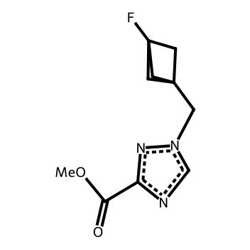 COC(=O)c1ncn(CC23CC(F)(C2)C3)n1